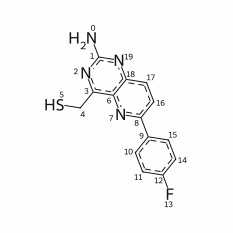 Nc1nc(CS)c2nc(-c3ccc(F)cc3)ccc2n1